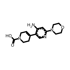 Nc1cc(N2CCOCC2)ncc1C1=CCN(C(=O)O)CC1